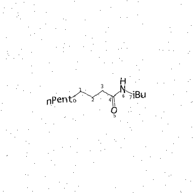 [CH2]CCCCCCCC(=O)NC(C)CC